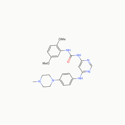 COc1ccc(OC)c(NC(=O)Nc2cc(Nc3ccc(N4CCN(C)CC4)cc3)ncn2)c1